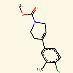 Cc1cc(C2=CCN(C(=O)OC(C)(C)C)CC2)ccc1Cl